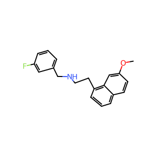 COc1ccc2cccc(CCNCc3cccc(F)c3)c2c1